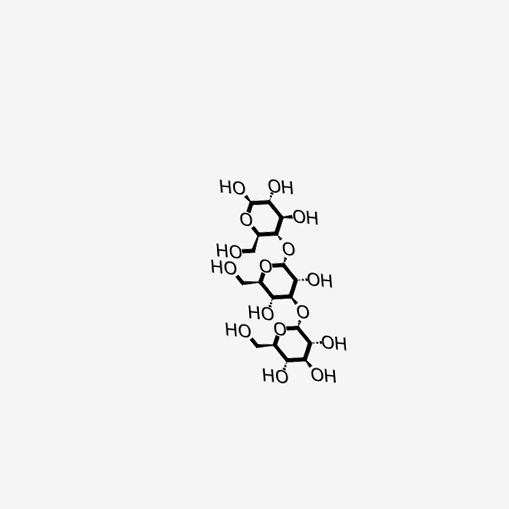 OC[C@H]1O[C@H](O[C@@H]2[C@@H](O)[C@@H](O[C@H]3[C@H](O)[C@@H](O)[C@H](O)O[C@@H]3CO)O[C@H](CO)[C@H]2O)[C@H](O)[C@@H](O)[C@@H]1O